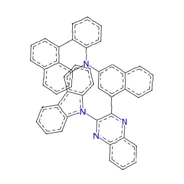 c1ccc2c(c1)-c1cccc3cccc(c13)N2c1cc(-c2nc3ccccc3nc2-n2c3ccccc3c3ccccc32)c2ccccc2c1